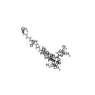 C=C=CCCCCNC(=O)CCCCC(F)(F)C(F)(F)OC(F)(F)C(F)(F)S(=O)(=O)OC1[C@@H](C2COC(C)(C)O2)O[C@@H]2OC(C)(C)O[C@@H]12